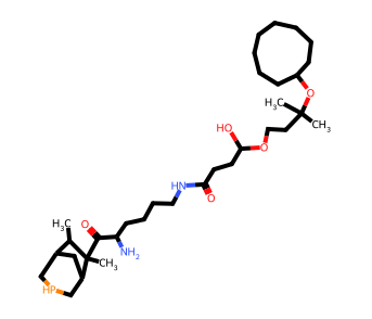 CC1C2CPCC(C2)C1(C)C(=O)C(N)CCCCNC(=O)CCC(O)OCCC(C)(C)OC1CCCCCCCC1